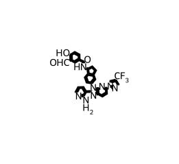 Nc1ncccc1-c1nc2ccc(-n3cc(C(F)(F)F)cn3)nc2n1-c1ccc2c(c1)CCC2NC(=O)c1ccc(O)c(C=O)c1